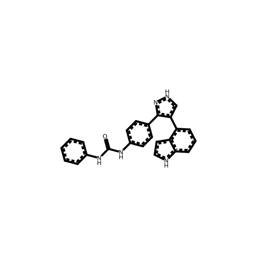 O=C(Nc1ccccc1)Nc1ccc(-c2n[nH]cc2-c2cccc3[nH]ccc23)cc1